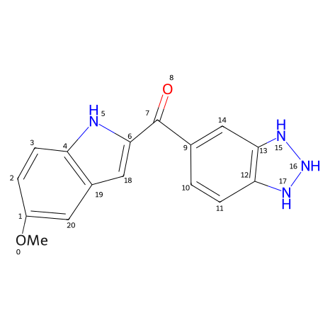 COc1ccc2[nH]c(C(=O)c3ccc4c(c3)NNN4)cc2c1